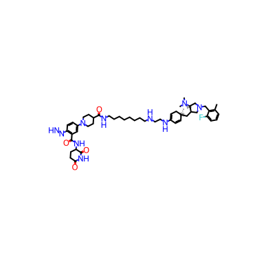 Cc1cccc(F)c1CN1CC(C[C@@]2(C)C=CC(NCCNCCCCCCCCNC(=O)C3CCN(c4ccc(N=N)c(C(=O)NC5CCC(=O)NC5=O)c4)CC3)=CC2)[C@@H](N(C)C)C1